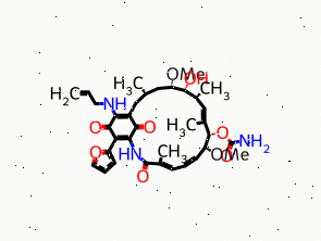 C=CCNC1=C2C[C@@H](C)C[C@H](OC)[C@H](O)[C@@H](C)/C=C(\C)[C@H](OC(N)=O)[C@@H](OC)/C=C\C=C(/C)C(=O)NC(=C(c3ccco3)C1=O)C2=O